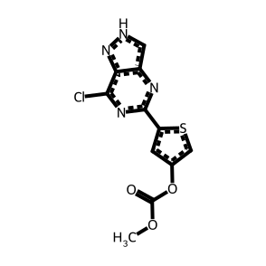 COC(=O)Oc1csc(-c2nc(Cl)c3n[nH]cc3n2)c1